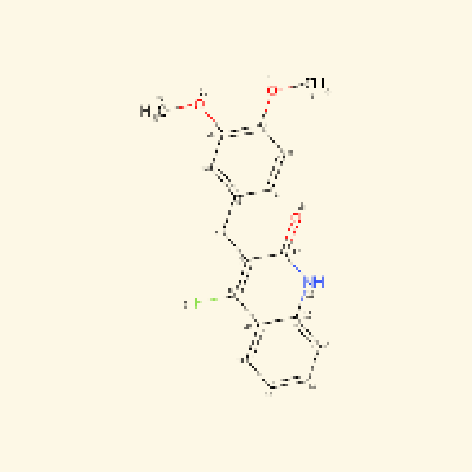 COc1ccc(Cc2c(F)c3ccccc3[nH]c2=O)cc1OC